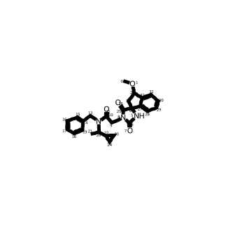 COC1CC2(NC(=O)N(CC(=O)N(Cc3ccccc3)C(C)C3CC3)C2=O)c2ccccc21